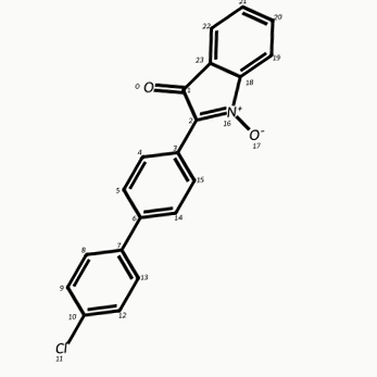 O=C1C(c2ccc(-c3ccc(Cl)cc3)cc2)=[N+]([O-])c2ccccc21